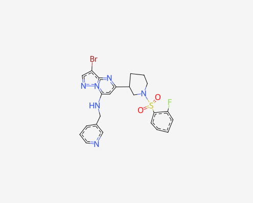 O=S(=O)(c1ccccc1F)N1CCCC(c2cc(NCc3cccnc3)n3ncc(Br)c3n2)C1